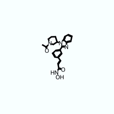 CC(=O)N1CCCC(n2c(-c3cccc(/C=C/C(=O)NO)c3)nc3ccccc32)C1